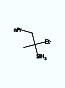 C[CH]C(C)([SiH3])CCCC